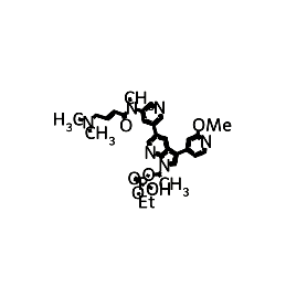 CCOP(=O)(O)OC(C)n1cc(-c2ccnc(OC)c2)c2cc(-c3cncc(N(C)C(=O)C=CCN(C)C)c3)cnc21